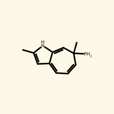 Cc1cc2c([nH]1)=CC(C)(P)C=CC=2